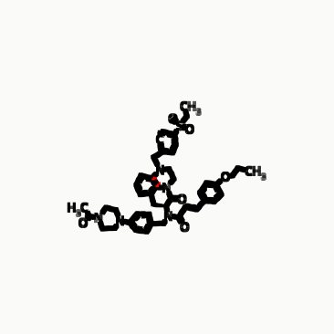 CCCOc1ccc(C=CC(=O)N(Cc2ccc(N3CCN(C(C)=O)CC3)cc2)[C@@H](Cc2ccccc2)C(=O)N2CCN(Cc3ccc(S(=O)(=O)CC)cc3)CC2)cc1